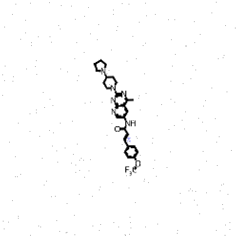 Cc1nc(N2CCC(N3CCCC3)CC2)nc2ncc(NC(=O)/C=C/c3ccc(OC(F)(F)F)cc3)cc12